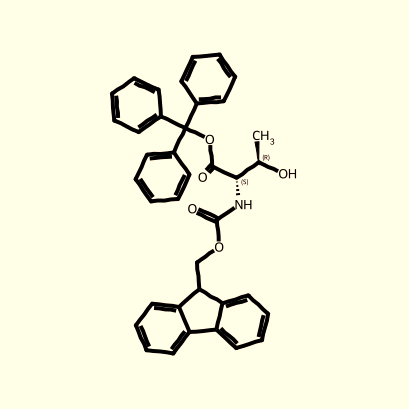 C[C@@H](O)[C@H](NC(=O)OCC1c2ccccc2-c2ccccc21)C(=O)OC(c1ccccc1)(c1ccccc1)c1ccccc1